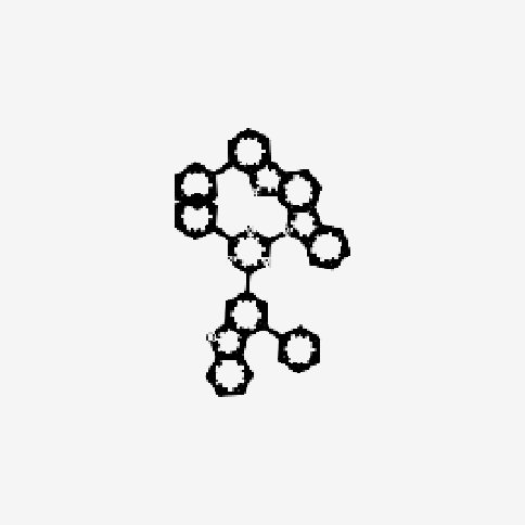 c1ccc(-c2nc(-c3cc(-c4ccccc4)c4c(c3)oc3ccccc34)nc(-n3c4ccccc4c4ccc5c6cccc(-c7ccccc7)c6oc5c43)n2)cc1